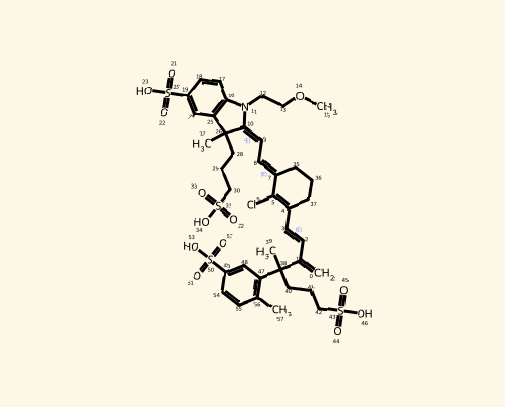 C=C(/C=C/C1=C(Cl)C(=C/C=C2/N(CCOC)c3ccc(S(=O)(=O)O)cc3C2(C)CCCS(=O)(=O)O)/CCC1)C(C)(CCCS(=O)(=O)O)c1cc(S(=O)(=O)O)ccc1C